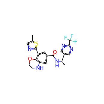 Cc1cnc(-c2cc(C(=O)N[C@H](C)c3cnc(C(F)(F)F)nc3)cc3c2OCCN3)s1